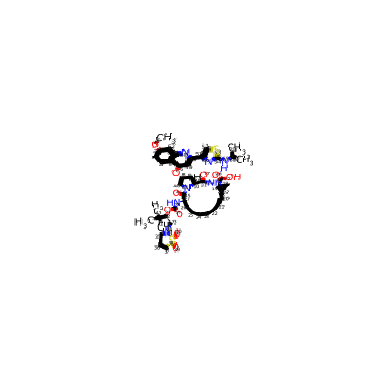 COc1ccc2c(O[C@@H]3C[C@H]4C(=O)N[C@]5(C(=O)O)CC5/C=C\CCCCC[C@H](NC(=O)O[C@H](CN5CCCS5(=O)=O)C(C)(C)C)C(=O)N4C3)cc(-c3csc(NC(C)C)n3)nc2c1